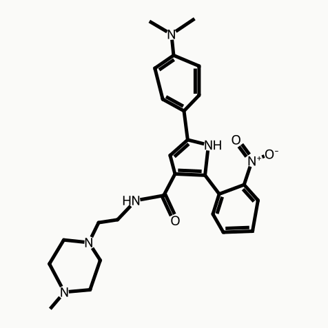 CN1CCN(CCNC(=O)c2cc(-c3ccc(N(C)C)cc3)[nH]c2-c2ccccc2[N+](=O)[O-])CC1